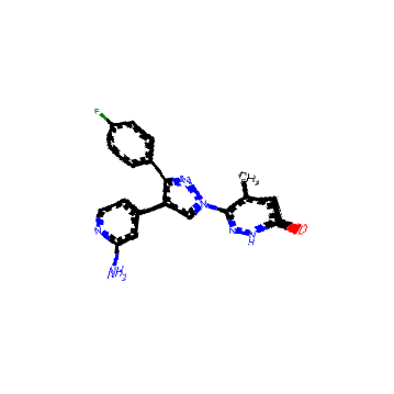 Cc1cc(=O)[nH]nc1-n1cc(-c2ccnc(N)c2)c(-c2ccc(F)cc2)n1